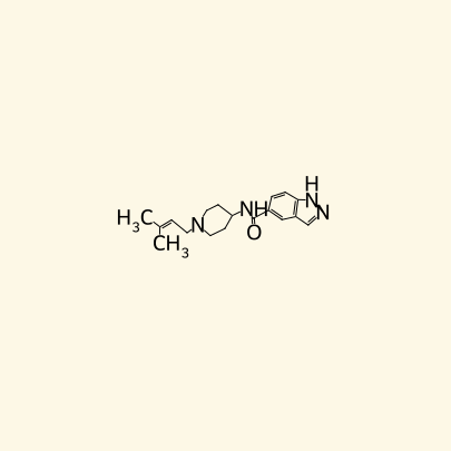 CC(C)=CCN1CCC(NC(=O)c2ccc3[nH]ncc3c2)CC1